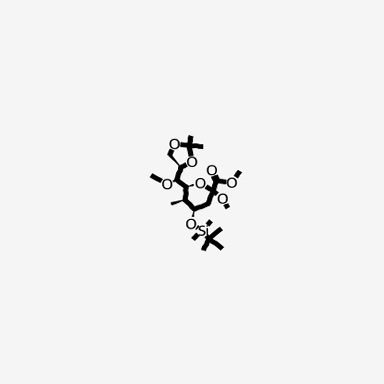 COC(=O)C1(OC)C[C@H](O[Si](C)(C)C(C)(C)C)[C@@H](C)[C@H]([C@H](OC)[C@H]2COC(C)(C)O2)O1